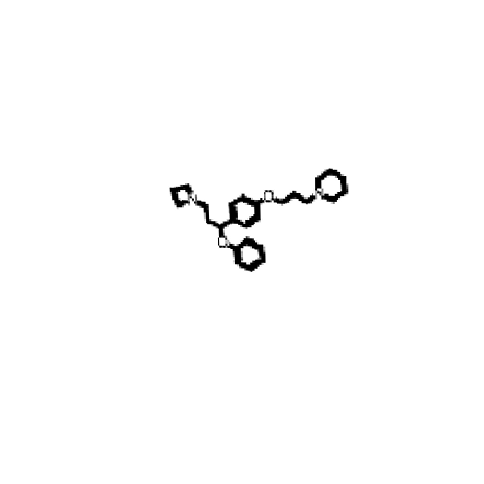 c1ccc(OC(CCN2CCC2)c2ccc(OCCCN3CCCCC3)cc2)cc1